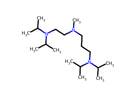 CC(C)N(CCCN(C)CCN(C(C)C)C(C)C)C(C)C